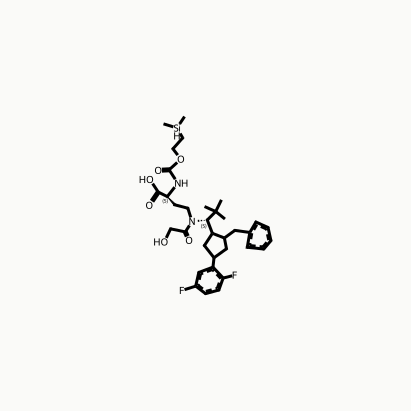 C[SiH](C)CCOC(=O)N[C@@H](CCN(C(=O)CO)[C@@H](C1CC(c2cc(F)ccc2F)CC1Cc1ccccc1)C(C)(C)C)C(=O)O